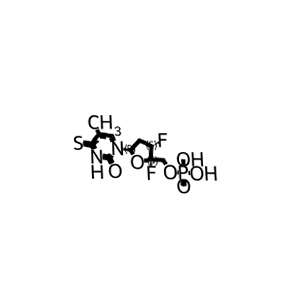 Cc1cn([C@H]2C[C@H](F)[C@@](F)(COP(=O)(O)O)O2)c(=O)[nH]c1=S